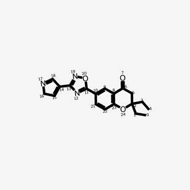 CCC1(CC)CC(=O)c2cc(-c3nc(C4=CCN=C4)no3)ccc2O1